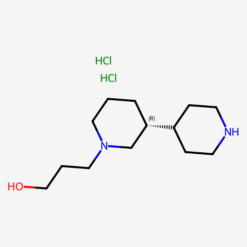 Cl.Cl.OCCCN1CCC[C@H](C2CCNCC2)C1